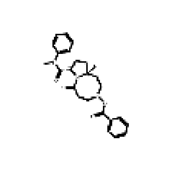 CN(C(=O)[C@@H]1CC[C@@H]2CCN(OC(=O)c3ccccc3)CCC(=O)N21)c1ccccc1